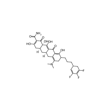 CN(C)C1=C2C[C@H]3C[C@H]4CC(O)=C(C(N)=O)C(=O)[C@@]4(O)C(O)=C3C(=O)C2=C(O)C(CCCC2C=C(F)C(F)=C(F)C2)C1